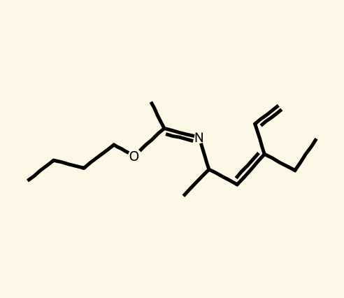 C=C/C(=C\C(C)/N=C(/C)OCCCC)CC